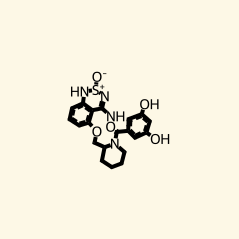 NC1=N[S+]([O-])Nc2cccc(OCC3CCCCN3C(=O)c3cc(O)cc(O)c3)c21